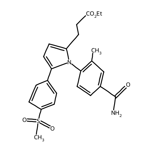 CCOC(=O)CCc1ccc(-c2ccc(S(C)(=O)=O)cc2)n1-c1ccc(C(N)=O)cc1C